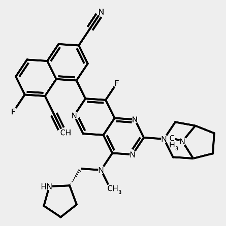 C#Cc1c(F)ccc2cc(C#N)cc(-c3ncc4c(N(C)C[C@@H]5CCCN5)nc(N5CC6CCC(C5)N6C)nc4c3F)c12